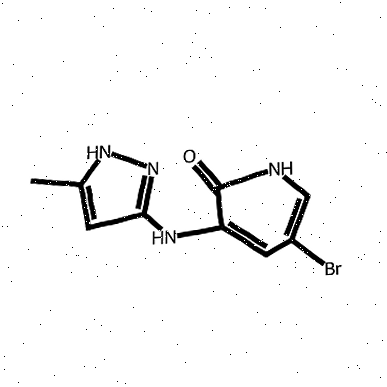 Cc1cc(Nc2cc(Br)c[nH]c2=O)n[nH]1